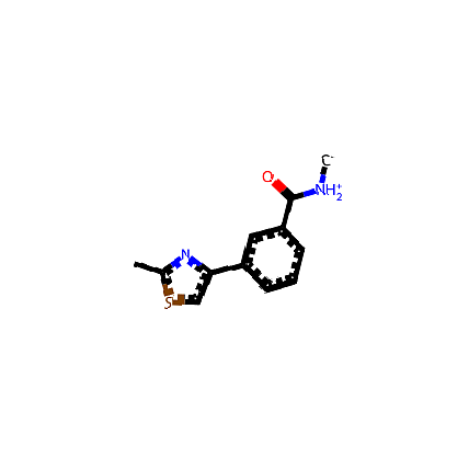 [CH2-][NH2+]C(=O)c1cccc(-c2csc(C)n2)c1